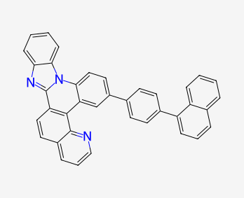 c1ccc2c(-c3ccc(-c4ccc5c(c4)c4c(ccc6cccnc64)c4nc6ccccc6n54)cc3)cccc2c1